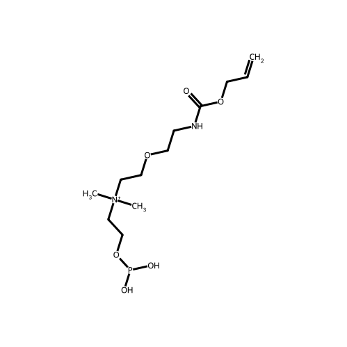 C=CCOC(=O)NCCOCC[N+](C)(C)CCOP(O)O